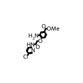 COC(=O)c1ccc(OCC(=O)Nc2ccc(Cl)cn2)c(N)c1